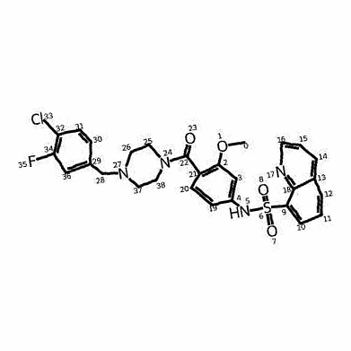 COc1cc(NS(=O)(=O)c2cccc3cccnc23)ccc1C(=O)N1CCN(Cc2ccc(Cl)c(F)c2)CC1